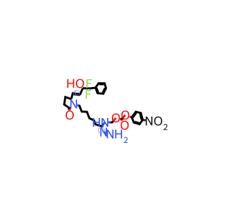 N/N=C(/CCCCCCN1C(=O)CCC1/C=C/C(O)C(F)(F)c1ccccc1)NCOC(=O)Oc1ccc([N+](=O)[O-])cc1